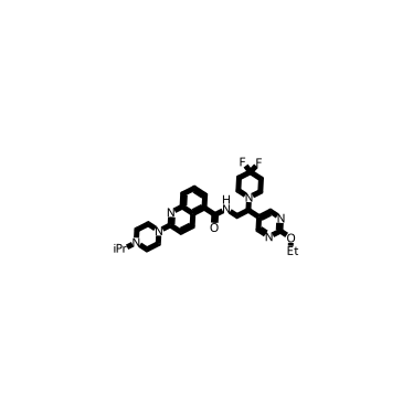 CCOc1ncc(C(CNC(=O)c2cccc3nc(N4CCN(C(C)C)CC4)ccc23)N2CCC(F)(F)CC2)cn1